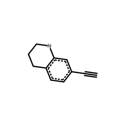 C#Cc1ccc2c(c1)[N]CCC2